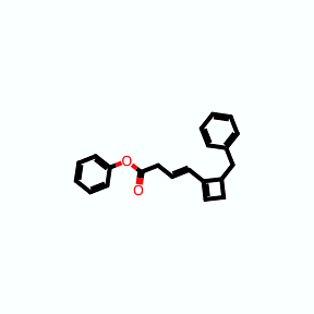 O=C(CC=CC1=CCC1Cc1ccccc1)Oc1ccccc1